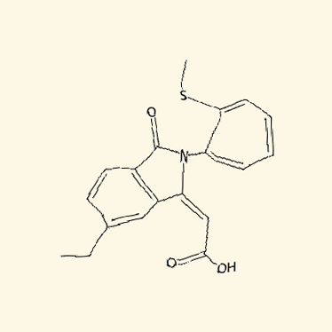 CCc1ccc2c(c1)C(=CC(=O)O)N(c1ccccc1SC)C2=O